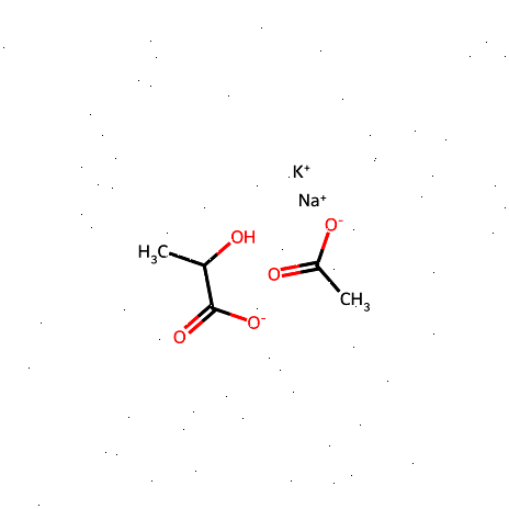 CC(=O)[O-].CC(O)C(=O)[O-].[K+].[Na+]